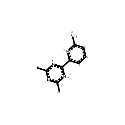 Cc1nc(C)nc(-c2cccc(C(F)(F)F)n2)n1